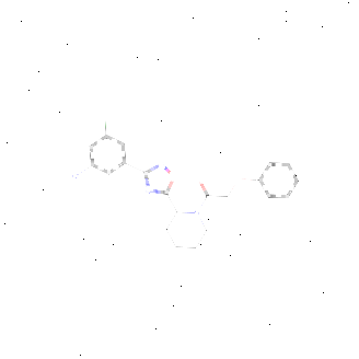 Nc1cc(F)cc(-c2noc(C3CCCCN3C(=O)COc3ccccc3)n2)c1